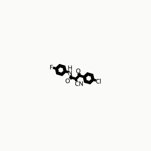 N#CC(C(=O)Nc1ccc(F)cc1)C(=O)c1ccc(Cl)cc1